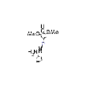 COc1cc(/C=C/C=NN=C(N)c2ccccc2)cc(OC)c1O